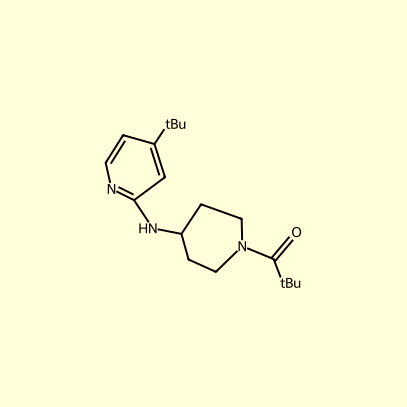 CC(C)(C)C(=O)N1CCC(Nc2cc(C(C)(C)C)ccn2)CC1